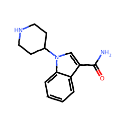 NC(=O)c1cn(C2CCNCC2)c2c[c]ccc12